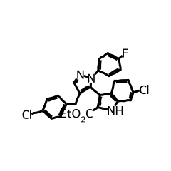 CCOC(=O)c1[nH]c2cc(Cl)ccc2c1-c1c(Cc2ccc(Cl)cc2)cnn1-c1ccc(F)cc1